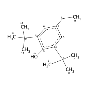 C[CH]c1cc(C(C)(C)C)c(O)c(C(C)(C)C)c1